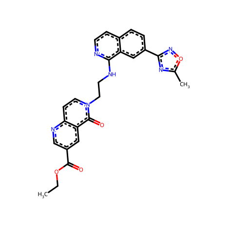 CCOC(=O)c1cnc2ccn(CCNc3nccc4ccc(-c5noc(C)n5)cc34)c(=O)c2c1